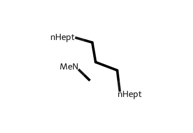 CCCCCCCCCCCCCCCCC.CNC